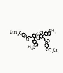 CCOC(=O)C1CCN(C(=O)/C=C/c2ccc(Sc3ccc(/C=C/C(=O)N4CCC(C(=O)OCC)CC4)c(-c4ccc5c(ccn5C)c4)c3Cl)c(Cl)c2-c2ccc3c(ccn3C)c2)CC1